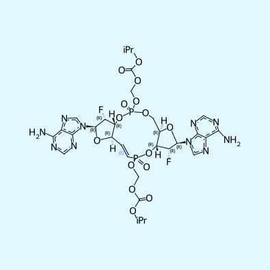 CC(C)OC(=O)OCOP1(=O)/C=C/[C@H]2O[C@@H](n3cnc4c(N)ncnc43)[C@H](F)[C@@H]2OP(=O)(OCOC(=O)OC(C)C)OC[C@H]2O[C@@H](n3cnc4c(N)ncnc43)[C@H](F)[C@@H]2O1